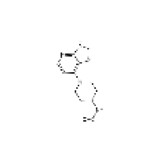 O=CNC1CCN(c2ccnc3[nH]ccc23)CC1